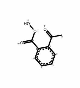 CC(=O)c1ccccc1C(=O)OO